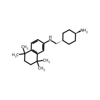 CC1(C)CCC(C)(C)c2cc(NC[C@H]3CC[C@H](N)CC3)ccc21